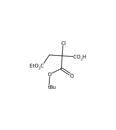 CCOC(=O)CC(Cl)(C(=O)O)C(=O)OC(C)(C)C